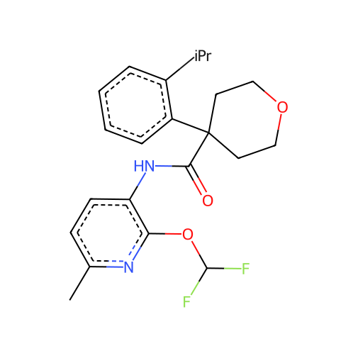 Cc1ccc(NC(=O)C2(c3ccccc3C(C)C)CCOCC2)c(OC(F)F)n1